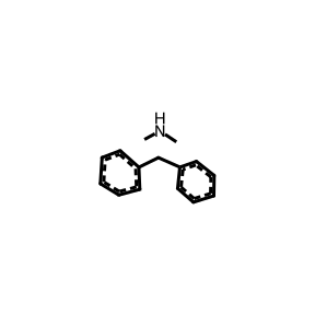 CNC.c1ccc(Cc2ccccc2)cc1